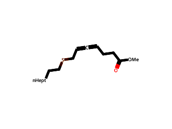 CCCCCCCCCSCC=C=CCCC(=O)OC